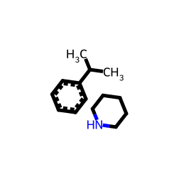 C1CCNCC1.CC(C)c1ccccc1